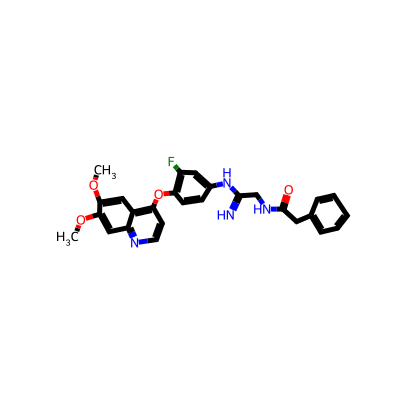 COc1cc2nccc(Oc3ccc(NC(=N)CNC(=O)Cc4ccccc4)cc3F)c2cc1OC